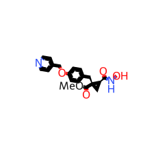 COC(=O)[C@@]1(Cc2ccc(OCc3ccncc3)cc2)C[C@@H]1C(=O)NO